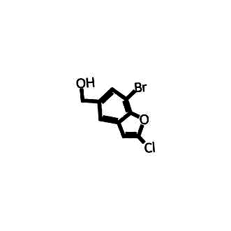 OCc1cc(Br)c2oc(Cl)cc2c1